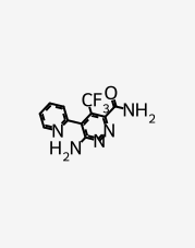 NC(=O)c1nnc(N)c(-c2ccccn2)c1C(F)(F)F